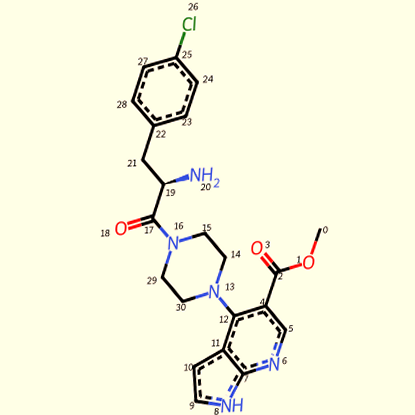 COC(=O)c1cnc2[nH]ccc2c1N1CCN(C(=O)[C@H](N)Cc2ccc(Cl)cc2)CC1